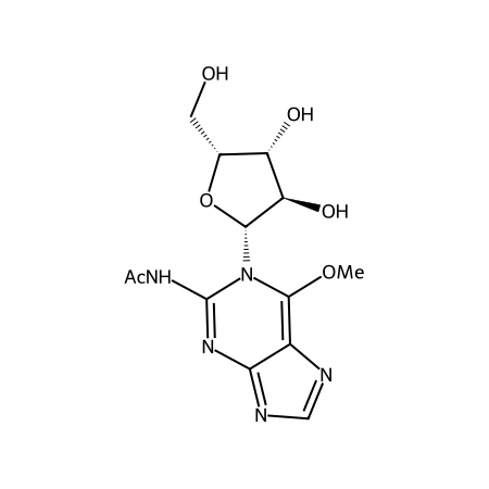 COc1c2ncnc-2nc(NC(C)=O)n1[C@@H]1O[C@H](CO)[C@H](O)[C@H]1O